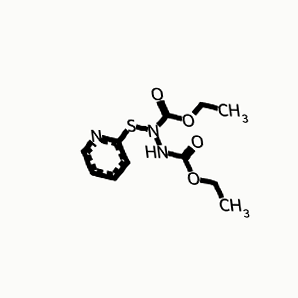 CCOC(=O)NN(Sc1ccccn1)C(=O)OCC